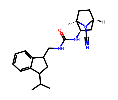 CC(C)C1CC(CNC(=O)N[C@@H]2C[C@@H]3CC[C@H]2N3C#N)c2ccccc21